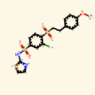 O=S(=O)(CCc1ccc(OC(F)(F)F)cc1)c1ccc(S(=O)(=O)Nc2nccs2)cc1F